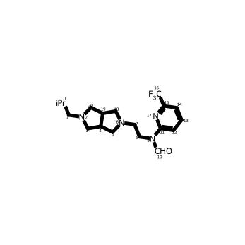 CC(C)CN1CC2CN(CCN(C=O)c3cccc(C(F)(F)F)n3)CC2C1